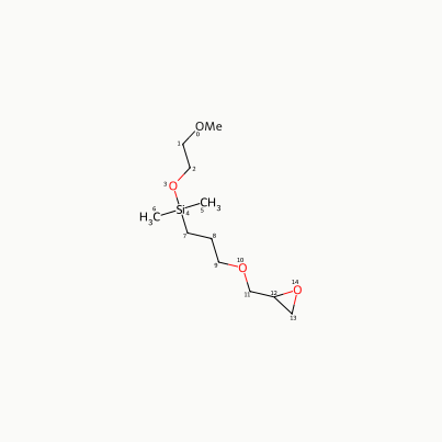 COCCO[Si](C)(C)CCCOCC1CO1